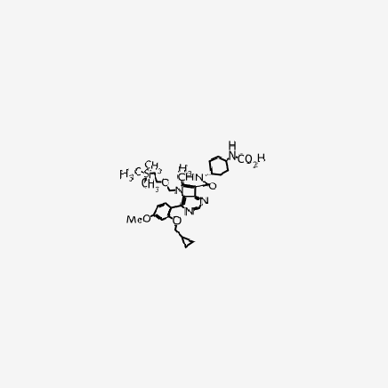 COc1ccc(-c2ncnc3c(C(=O)N[C@H]4CC[C@H](NC(=O)O)CC4)c(C)n(COCC[Si](C)(C)C)c23)c(OCC2CC2)c1